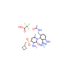 CC(=O)NCc1ccc2[nH]nc(N)c2c1-n1c(C)cc(S(=O)(=O)CC2CCC2)c(N)c1=O.O=C(O)C(F)(F)F